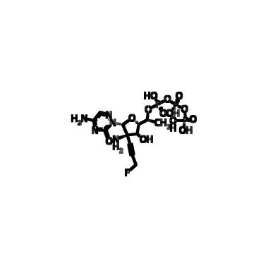 C[C@H](OP(=O)(O)OP(=O)(O)OP(=O)(O)O)[C@H]1O[C@@H](n2ncc(N)nc2=O)[C@@](N)(C#CCF)C1O